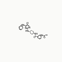 C=CC(=O)Nc1cccc(C(=O)NC2CCC(Nc3ncc(Cl)c(Nc4ccccc4)n3)CC2)c1